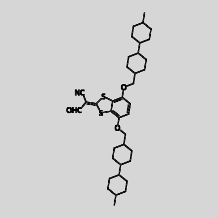 CC1CCC(C2CCC(COc3ccc(OCC4CCC(C5CCC(C)CC5)CC4)c4c3SC(=C(C#N)C=O)S4)CC2)CC1